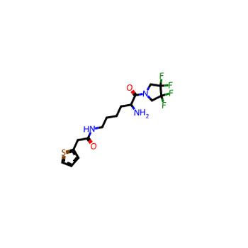 NC(CCCCNC(=O)Cc1cccs1)C(=O)N1CC(F)(F)C(F)(F)C1